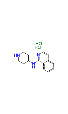 Cl.Cl.c1ccc2c(NC3CCNCC3)nccc2c1